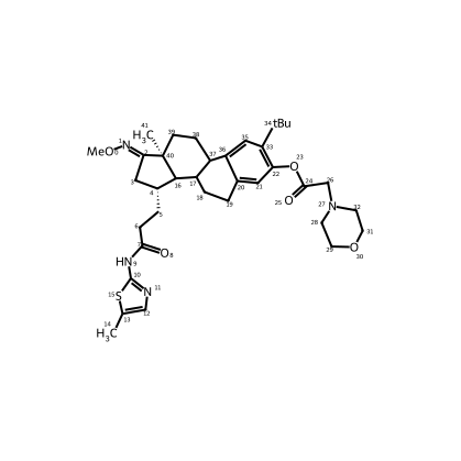 CON=C1C[C@@H](CCC(=O)Nc2ncc(C)s2)C2C3CCc4cc(OC(=O)CN5CCOCC5)c(C(C)(C)C)cc4C3CC[C@]12C